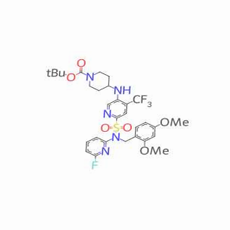 COc1ccc(CN(c2cccc(F)n2)S(=O)(=O)c2cc(C(F)(F)F)c(NC3CCN(C(=O)OC(C)(C)C)CC3)cn2)c(OC)c1